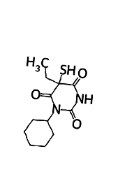 CCC1(S)C(=O)NC(=O)N(C2CCCCC2)C1=O